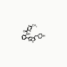 Cc1cnc(C(=O)Nc2ccccc2-c2cn3c(CN4CCNCC4)csc3n2)cn1